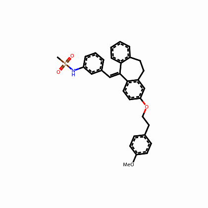 COc1ccc(CCOc2ccc3c(c2)CCc2ccccc2C3=Cc2cccc(NS(C)(=O)=O)c2)cc1